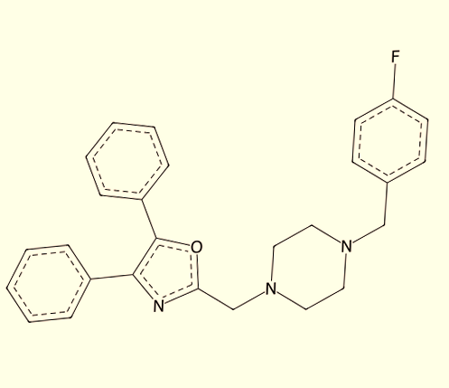 Fc1ccc(CN2CCN(Cc3nc(-c4ccccc4)c(-c4ccccc4)o3)CC2)cc1